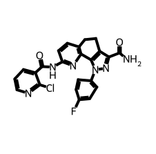 NC(=O)c1nn(-c2ccc(F)cc2)c2c1CCc1ccc(NC(=O)c3cccnc3Cl)nc1-2